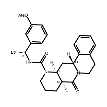 CC[C@@H](NC(=O)N1CCC[C@@H]2C(=O)N3CCc4ccccc4[C@H]3C[C@@H]21)c1cccc(OC)c1